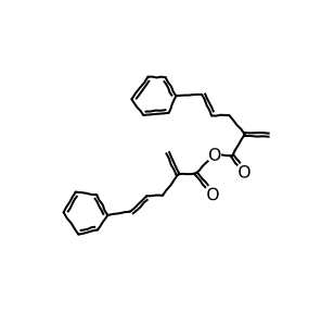 C=C(CC=Cc1ccccc1)C(=O)OC(=O)C(=C)CC=Cc1ccccc1